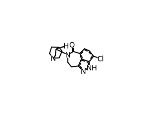 O=C1c2ccc(Cl)c3[nH]nc(c23)CCN1[C@@H]1CN2CCC1CC2